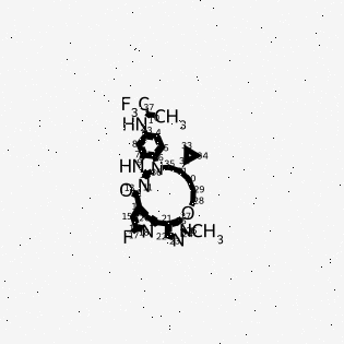 C[C@@H](Nc1ccc2c(c1)N/C1=N\C(=O)c3cc(F)nc(c3)-c3cnn(C)c3OCCC[C@@H](C3CC3)CN12)C(F)(F)F